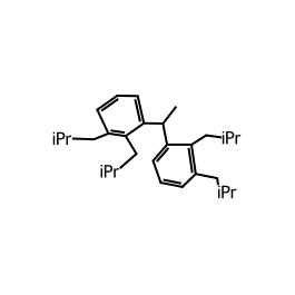 CC(C)Cc1cccc(C(C)c2cccc(CC(C)C)c2CC(C)C)c1CC(C)C